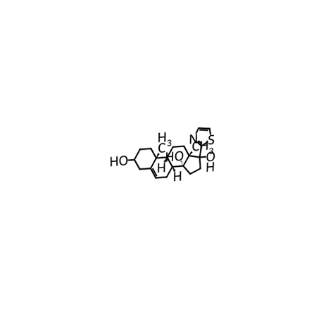 C[C@]12CCC(O)CC1=CC[C@@H]1[C@H]2CC[C@]2(C)C(O)(c3nccs3)CC[C@@]12O